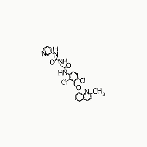 Cc1ccc2cccc(OCc3c(Cl)ccc(NC(=O)CNC(=O)Nc4cccnc4)c3Cl)c2n1